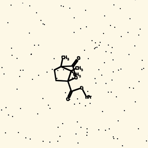 CCCOC(=O)C12CCC(C)(C(=O)O1)C2(C)C